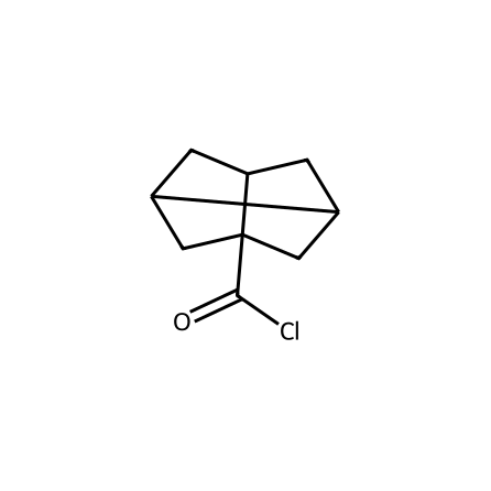 O=C(Cl)C12CC3CC1CC3C2